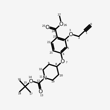 C#CCOc1cc(OC2CCN(C(=O)OC(C)(C)C)CC2)ccc1C(=O)OC